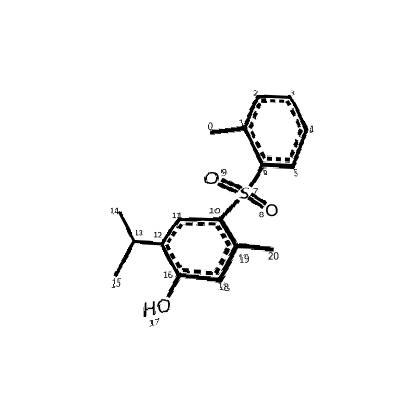 Cc1ccccc1S(=O)(=O)c1cc(C(C)C)c(O)cc1C